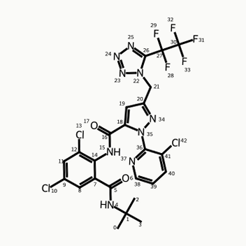 CC(C)(C)NC(=O)c1cc(Cl)cc(Cl)c1NC(=O)c1cc(Cn2nnnc2C(F)(F)C(F)(F)F)nn1-c1ncccc1Cl